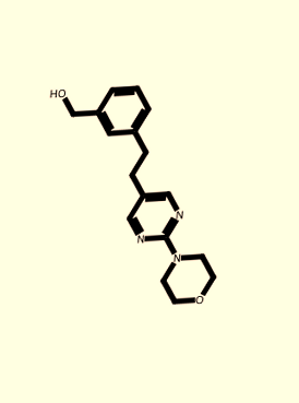 OCc1cccc(CCc2cnc(N3CCOCC3)nc2)c1